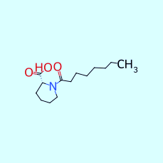 CCCCCCCC(=O)N1CCCC[C@@H]1C(=O)O